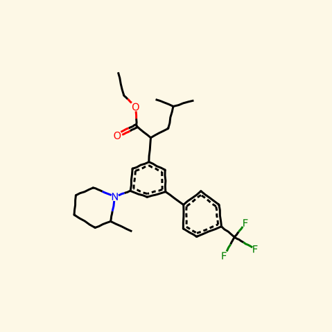 CCOC(=O)C(CC(C)C)c1cc(-c2ccc(C(F)(F)F)cc2)cc(N2CCCCC2C)c1